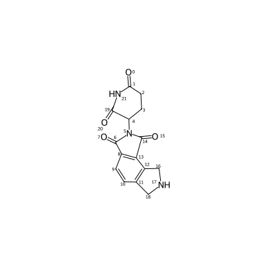 O=C1CCC(N2C(=O)c3ccc4c(c3C2=O)CNC4)C(=O)N1